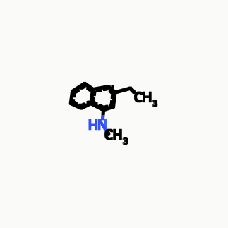 CCc1[c]c2ccccc2c(NC)c1